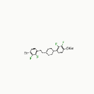 CCc1ccc(CCC2CCC(c3ccc(OC)c(F)c3F)CC2)c(F)c1F